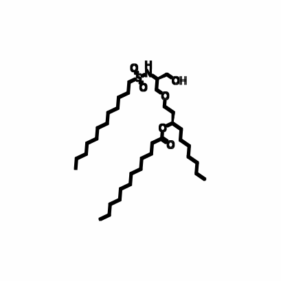 CCCCCCCCCCCCS(=O)(=O)N[C@@H](CO)COCC[C@@H](CCCCCCC)OC(=O)CCCCCCCCCCC